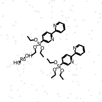 CCO[Si](OCC)(OCC)c1ccc(-c2ccccn2)nc1.CCO[Si](OCC)(OCC)c1ccc(-c2ccccn2)nc1.[OH][Ru][OH]